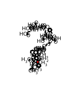 CC[C@](C)(O)CCCC(C(=O)OC)(c1cc2c(cc1OC)N(C)[C@H]1[C@@](O)(C(=O)NNC(=O)OCCSSC[C@H](NC(=O)[C@H](Cc3ccccc3)NC(=O)[C@H](CC(=O)O)NC(=O)CC[C@H](NC(=O)CC[C@H](NC(=O)N[C@@H](CCC(=O)O)C(=O)O)C(=O)O)C(=O)O)C(=O)O)[C@H](O)[C@]3(CC)C=CCN4CC[C@]21[C@@H]43)c1[nH]c2ccccc2c1CCN